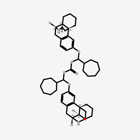 O=C(OC(Oc1ccc2c(c1)[C@@]13CCCC[C@H]1[C@@H](C2)NCC3)C1CCCCCC1)OC(Oc1ccc2c(c1)[C@@]13CCCC[C@H]1[C@@H](C2)NCC3)C1CCCCCC1